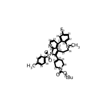 Cc1ccc(S(=O)(=O)n2c(C3=CCN(C(=O)OC(C)(C)C)CC3)c3c4c(ccnc42)-c2cc(F)ccc2N(C)CC3)cc1